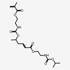 C=C(C)C(=O)OCCNC(=O)OC(C)C/C=C/C(=O)OCCNC(=O)OC(C)C